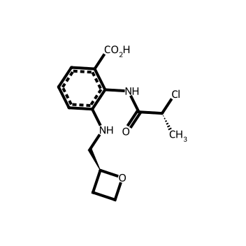 C[C@@H](Cl)C(=O)Nc1c(NC[C@@H]2CCO2)cccc1C(=O)O